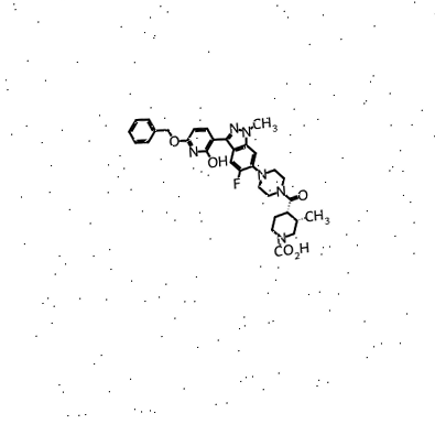 C[C@@H]1CN(C(=O)O)CC[C@@H]1C(=O)N1CCN(c2cc3c(cc2F)c(-c2ccc(OCc4ccccc4)nc2O)nn3C)CC1